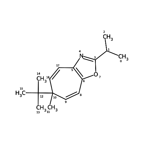 CC(C)c1nc2c(o1)C=CC(C)(C(C)(C)C)C=C2